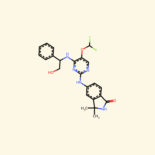 CC1(C)NC(=O)c2ccc(Nc3ncc(OC(F)F)c(NC(CO)c4ccccc4)n3)cc21